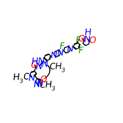 Cc1cc2cc(n1)-c1cnn(C)c1OCCC[C@@H](C)CN1/C(=N/C2=O)Nc2ccc(N3CCN([C@H]4CCN(c5cc(F)c([C@H]6CCC(=O)NC6=O)c(F)c5)C[C@H]4F)CC3)cc21